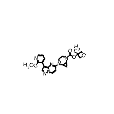 COc1ncccc1-c1cnn2ccc(N3CCN(C(=O)OC4(C)COC4)C4CC43)nc12